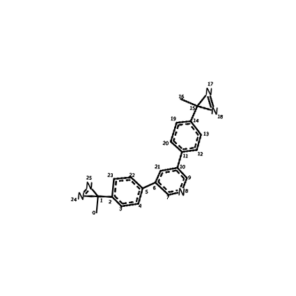 CC1(c2ccc(-c3cncc(-c4ccc(C5(C)N=N5)cc4)c3)cc2)N=N1